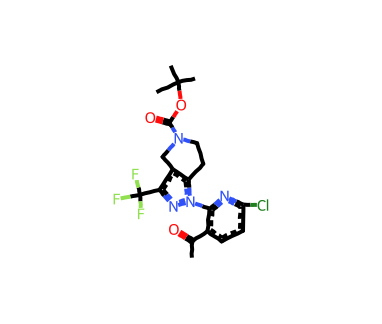 CC(=O)c1ccc(Cl)nc1-n1nc(C(F)(F)F)c2c1CCN(C(=O)OC(C)(C)C)C2